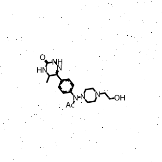 CC(=O)N(c1ccc(C2=NNC(=O)NC2C)cc1)N1CCN(CCO)CC1